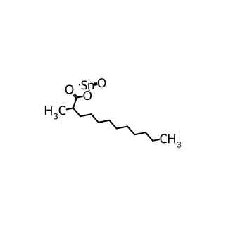 CCCCCCCCCCC(C)C(=O)[O][Sn]=[O]